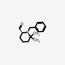 CC1(C)CCC[C@@H](C=O)N1Cc1ccccc1